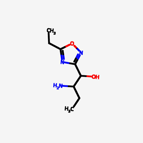 CCc1nc(C(O)C(N)CC)no1